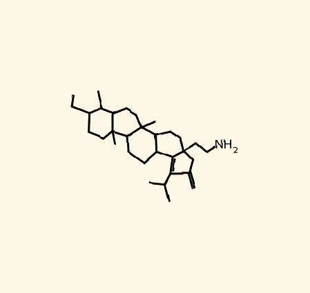 C=C1CC2(CCN)CCC3C(CCC4C3(C)CCC3C(C)C(CC)CCC34C)C2=C1C(C)C